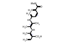 C=C/C(C(=O)O)=C(\C)N/C(C)=C(\C)NC(=C)/C=C\C(=C)C(=O)NC